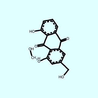 CO.O=C1c2cccc(O)c2C(=O)c2c(O)cc(CO)cc21